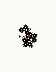 CCc1ccc2c(c1)N1c3ncccc3C(c3ccccc3)(c3ccccc3)c3cc(C(C)c4ccc5c(=O)c6cccc7c8cccnc8n(c5c4)c67)cc(c31)C2(c1ccccc1)c1ccccc1